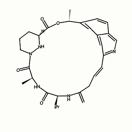 C=C1C/C=C/c2cc3cc(ccc3cn2)[C@@H](C)OC(=O)[C@@H]2CCCN(N2)C(=O)[C@H](C)NC(=O)[C@H](C(C)C)N1